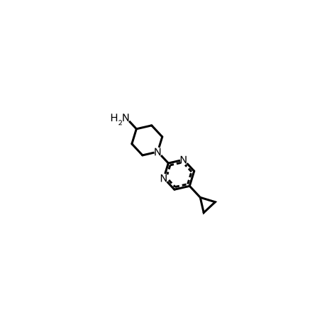 NC1CCN(c2ncc(C3CC3)cn2)CC1